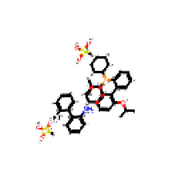 CC(C)Oc1cccc(OC(C)C)c1-c1ccccc1P(C1CCCCC1)C1CCCCC1.CS(=O)(=O)[O-].CS(=O)(=O)[O-].Nc1ccccc1-c1cccc[c]1[Pd+2]